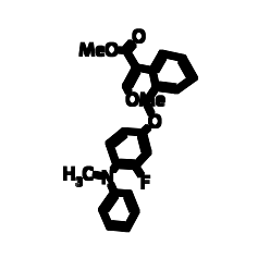 CO/C=C(/C(=O)OC)c1ccccc1COc1ccc(N(C)c2ccccc2)c(F)c1